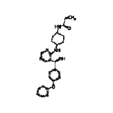 C=CC(=O)NC1CCC(Nc2ncncc2C(=N)c2ccc(Oc3ccccc3)cc2)CC1